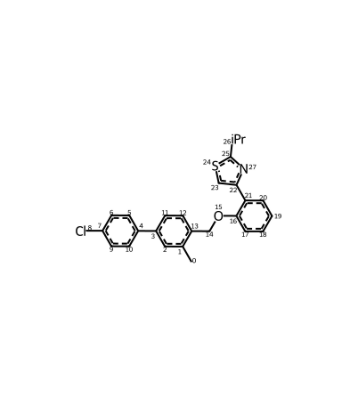 Cc1cc(-c2ccc(Cl)cc2)ccc1COc1ccccc1-c1csc(C(C)C)n1